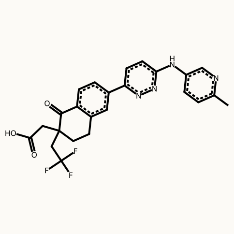 Cc1ccc(Nc2ccc(-c3ccc4c(c3)CCC(CC(=O)O)(CC(F)(F)F)C4=O)nn2)cn1